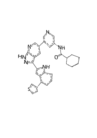 O=C(Nc1cncc(-c2cnc3[nH]nc(-c4cc5c(-c6ccsc6)cccc5[nH]4)c3c2)c1)C1CCCCC1